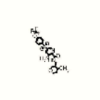 CC1CCOCC1CNC(=O)c1ncc(S(=O)(=O)c2ccc(OC(F)(F)F)cc2)cc1N